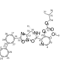 COc1ccnc(C(=O)N[C@@H](C)c2noc(-c3cccc(-c4ccccc4)c3)n2)c1OC(=O)OCC(C)C